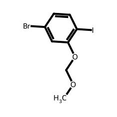 COCOc1cc(Br)ccc1I